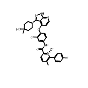 Cc1ccc(C(=O)Nc2ccc(Oc3ccnc4[nH]nc(N5CCC(C)(O)CC5)c34)c(Cl)c2)[n+]([O-])c1-c1ccc(F)cc1